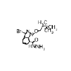 C[Si](C)(C)CCOCn1nc(Br)c2cccc(C(=O)NN)c21